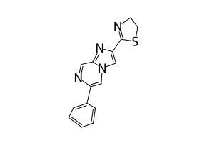 c1ccc(-c2cn3cc(C4=NCCS4)nc3cn2)cc1